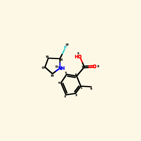 Cc1ccccc1C(=O)O.FC1CCCN1